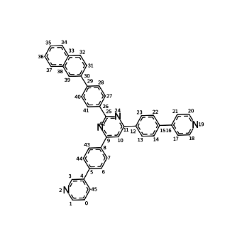 c1cncc(-c2ccc(-c3cc(-c4ccc(-c5ccncc5)cc4)nc(-c4ccc(-c5ccc6ccccc6c5)cc4)n3)cc2)c1